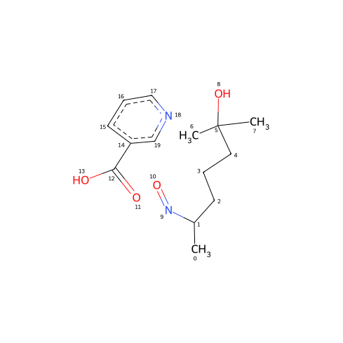 CC(CCCC(C)(C)O)N=O.O=C(O)c1cccnc1